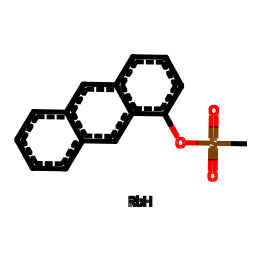 CS(=O)(=O)Oc1cccc2cc3ccccc3cc12.[RbH]